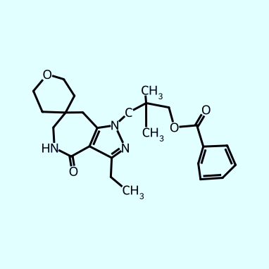 CCc1nn(CC(C)(C)COC(=O)c2ccccc2)c2c1C(=O)NCC1(CCOCC1)C2